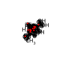 CC(=O)CCOCC[N+](CCCCS(=O)(=O)[O-])(CCCCS(=O)(=O)[O-])CCC[Si](C)(C)O[Si]1(O[Si](C)(C)CCC[N+](CCCCS(=O)(=O)O)(CCCCS(=O)(=O)O)CCCCS(=O)(=O)O)n2c3c4ccccc4c2/N=C2N=C(/N=c4/c5ccccc5/c(n41)=N/C1=NC(=N\3)/c3ccccc31)c1ccccc1\2